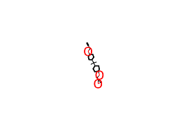 C#CCOc1ccc(C(C)(C)c2ccc(OC[C@H]3CO3)cc2)cc1